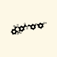 O=C(NCc1cccc(Sc2cccc(O)c2)c1)c1ccc2c(c1)NC(=O)c1ccccc1S2(=O)=O